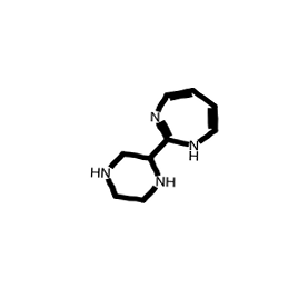 C1=CN=C(C2CNCCN2)NC=C1